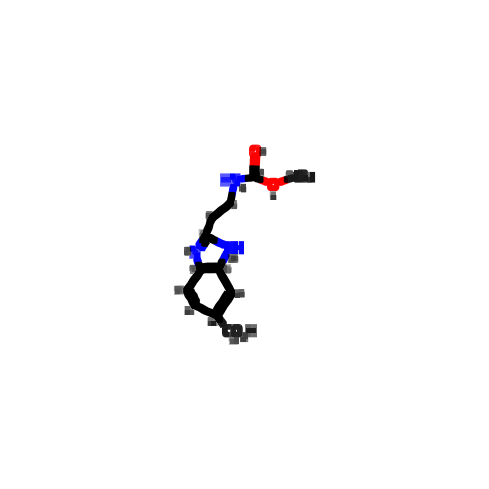 CC(C)(C)OC(=O)NCCc1nc2ccc(C(=O)O)cc2[nH]1